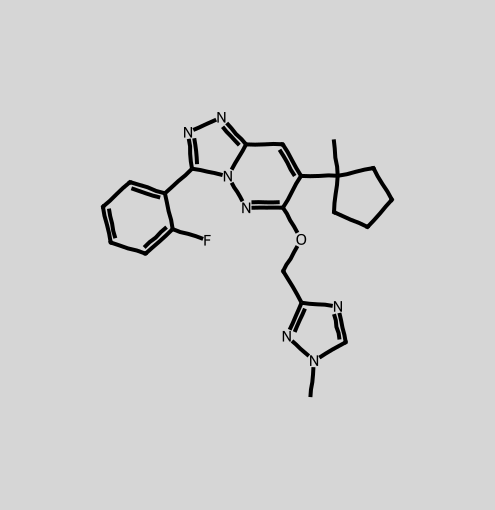 Cn1cnc(COc2nn3c(-c4ccccc4F)nnc3cc2C2(C)CCCC2)n1